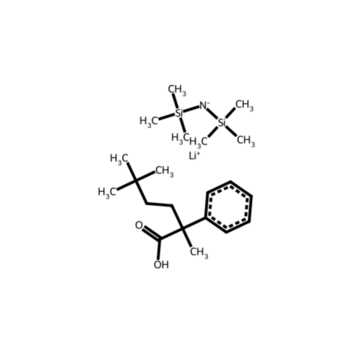 CC(C)(C)CCC(C)(C(=O)O)c1ccccc1.C[Si](C)(C)[N-][Si](C)(C)C.[Li+]